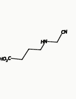 N#CCNCCCC(=O)O